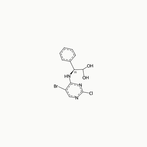 OC(O)[C@@H](Nc1nc(Cl)ncc1Br)c1ccccc1